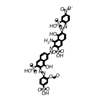 Nc1c(N=Nc2ccc3cc(S(=O)(=O)O)c(N=Nc4ccc(S(=O)(=O)O)cc4OC=O)c(O)c3c2)c(S(=O)(=O)O)cc2ccc(N=Nc3ccc([N+](=O)[O-])cc3S(=O)(=O)O)c(O)c12